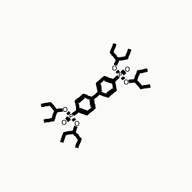 CCC(CC)OP(=O)(OC(CC)CC)c1ccc(-c2ccc(P(=O)(OC(CC)CC)OC(CC)CC)cc2)cc1